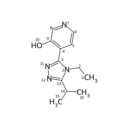 CCn1c(-c2ccncc2O)nnc1C(C)C